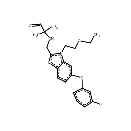 CCOCCn1c(CNC(C)(C)C=O)nc2ccc(Oc3cccc(Cl)c3)cc21